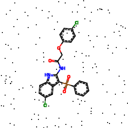 O=C(COc1ccc(Cl)cc1)Nc1[nH]c2ccc(Cl)cc2c1S(=O)(=O)c1ccccc1